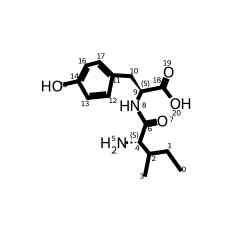 CCC(C)[C@H](N)C(=O)N[C@@H](Cc1ccc(O)cc1)C(=O)O